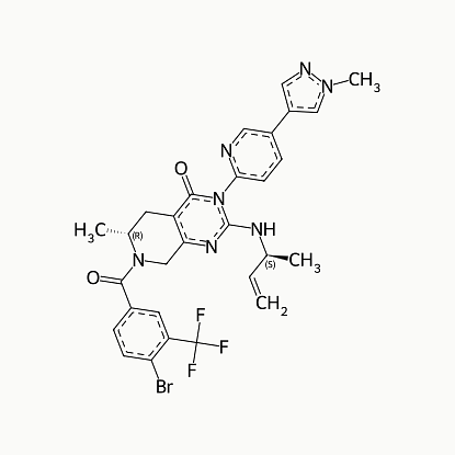 C=C[C@H](C)Nc1nc2c(c(=O)n1-c1ccc(-c3cnn(C)c3)cn1)C[C@@H](C)N(C(=O)c1ccc(Br)c(C(F)(F)F)c1)C2